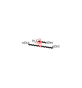 CCCCCCCC/C=C\CCCCCCCCOCCCCCCCC/C=C\CCCCCCCC.CCCCCCCCCCCCCCOC(=O)C(C)O